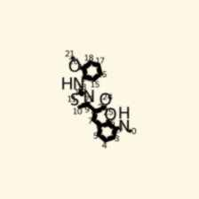 CNc1cccc2cc(-c3csc(Nc4ccccc4OC)n3)c(=O)oc12